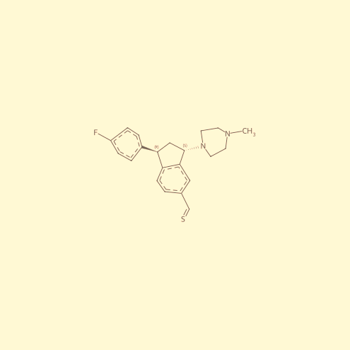 CN1CCN([C@H]2C[C@H](c3ccc(F)cc3)c3ccc(C=S)cc32)CC1